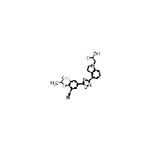 CC(C)Oc1ccc(-c2nc(-c3cccc4c3CCN4CC(=O)O)no2)cc1C#N